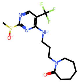 C[S+]([O-])c1ncc(C(F)(F)F)c(NCCCN2CCCCCC2=O)n1